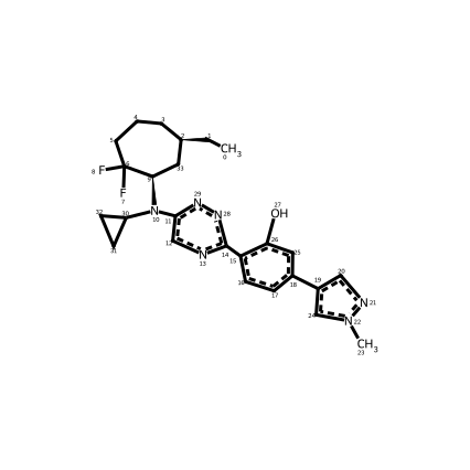 CC[C@@H]1CCCC(F)(F)[C@H](N(c2cnc(-c3ccc(-c4cnn(C)c4)cc3O)nn2)C2CC2)C1